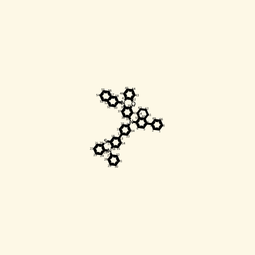 c1ccc(-c2ccc(N(c3ccc(-c4ccc5c(c4)Sc4ccccc4N5c4ccccc4)cc3)c3ccc4c(c3)Oc3ccccc3N4c3ccc4ccccc4c3)c3c2CCCC3)cc1